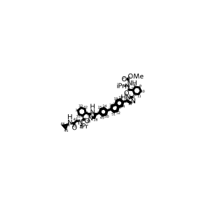 COC(=O)NN(C(=O)C1CCCC[C@@H]1c1ncc(-c2ccc3cc(-c4ccc(-c5cnc(C6CCCC[C@@H]6C(=O)N(CC(=O)NC6CC6)C(C)C)[nH]5)cc4)ccc3c2)[nH]1)C(C)C